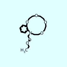 CCOOCN1CCOCCOCCOCCOc2ccccc21